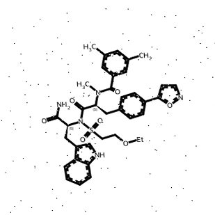 CCOCCS(=O)(=O)N(C(=O)[C@H](Cc1ccc(-c2ccno2)cc1)N(C)C(=O)c1cc(C)cc(C)c1)[C@@H](Cc1c[nH]c2ccccc12)C(N)=O